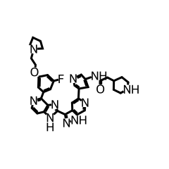 O=C(CC1CCNCC1)Nc1cncc(-c2cc3c(-c4nc5c(-c6cc(F)cc(OCCN7CCCC7)c6)nccc5[nH]4)n[nH]c3cn2)c1